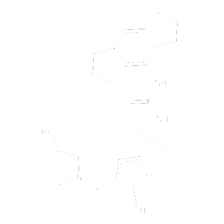 Cc1oc(S(=O)(=O)NC(=O)Nc2c3c(c(Cl)c4c2CCC4)CCC3)cc1CN1CCC(O)C1